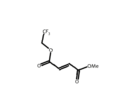 COC(=O)C=CC(=O)OCC(F)(F)F